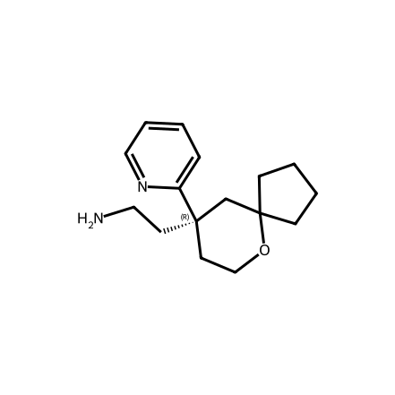 NCC[C@@]1(c2ccccn2)CCOC2(CCCC2)C1